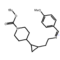 COc1ccc(/C=N\CCC2CC2C2CCN(C(=O)OC(C)(C)C)CC2)cc1